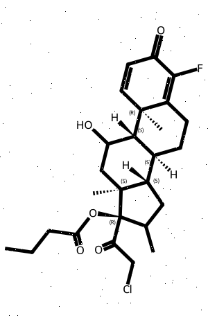 CCCC(=O)O[C@]1(C(=O)CCl)C(C)C[C@H]2[C@@H]3CCC4=C(F)C(=O)C=C[C@]4(C)[C@H]3C(O)C[C@@]21C